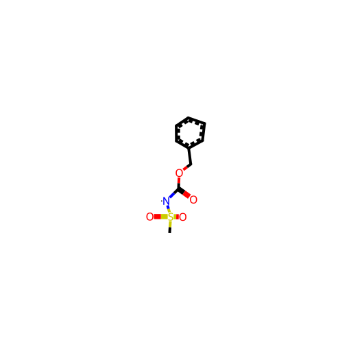 CS(=O)(=O)[N]C(=O)OCc1ccccc1